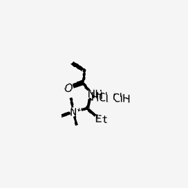 C=CC(=O)NC(CC)[N+](C)(C)C.Cl.Cl